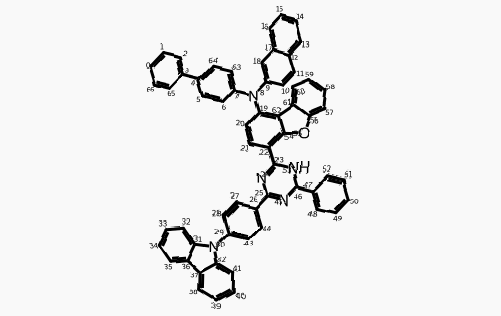 c1ccc(-c2ccc(N(c3ccc4ccccc4c3)c3ccc(C4=NC(c5ccc(-n6c7ccccc7c7ccccc76)cc5)=NC(c5ccccc5)N4)c4oc5ccccc5c34)cc2)cc1